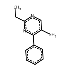 CCc1ncc(N)c(-c2ccccc2)n1